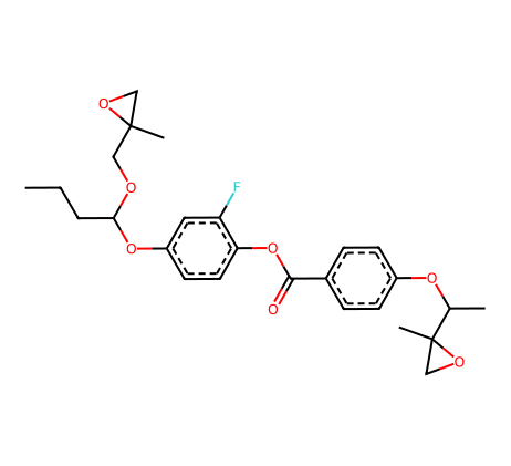 CCCC(OCC1(C)CO1)Oc1ccc(OC(=O)c2ccc(OC(C)C3(C)CO3)cc2)c(F)c1